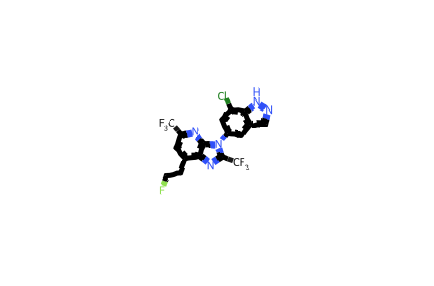 FCCc1cc(C(F)(F)F)nc2c1nc(C(F)(F)F)n2-c1cc(Cl)c2[nH]ncc2c1